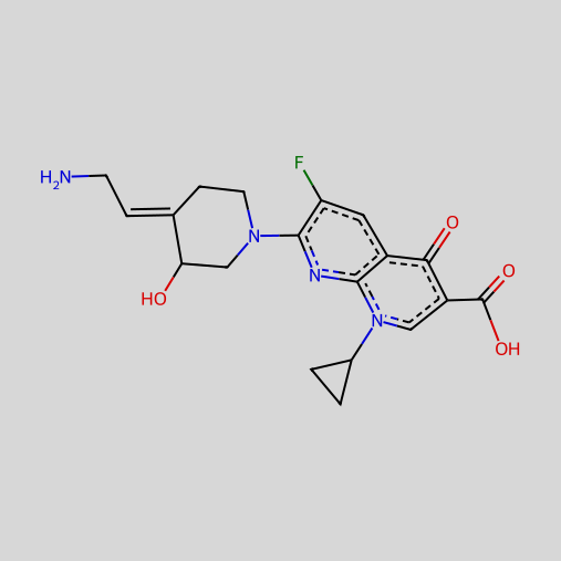 NCC=C1CCN(c2nc3c(cc2F)c(=O)c(C(=O)O)cn3C2CC2)CC1O